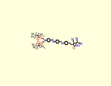 CC(C)(C)C(=O)OCCN(CCOC(=O)C(C)(C)C)c1ccc(/N=N/c2ccc(/C=N/c3ccc(/C=C/C4=C(C#N)C(=C(C#N)C#N)NC4=O)cc3)cc2)cc1